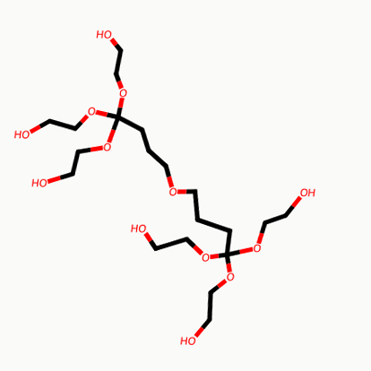 OCCOC(CCCOCCCC(OCCO)(OCCO)OCCO)(OCCO)OCCO